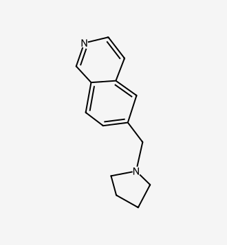 c1cc2cc(CN3CCCC3)ccc2cn1